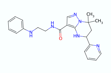 CC1(C)CC(c2ccccn2)Nc2c(C(=O)NCCNc3ccccc3)cnn21